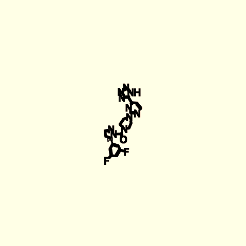 O=C(N1CCN(c2nccc(-c3nnn[nH]3)n2)CC1)N1N=CC[C@H]1c1cc(F)cc(F)c1